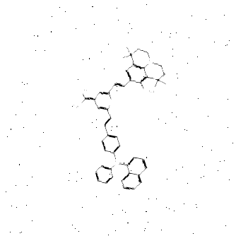 COc1c(/C=C/C2=CC(=C(C#N)C#N)C=C(/C=C/c3ccc(N(c4ccccc4)c4cccc5ccccc45)cc3)O2)cc2c3c1C(C)(C)CCN3CCC2(C)C